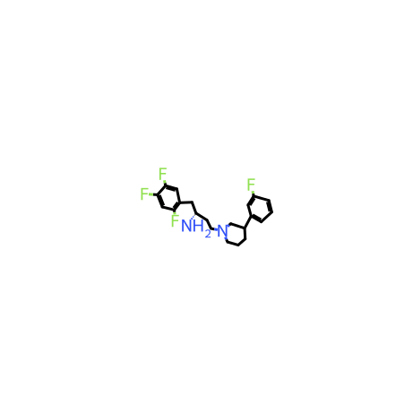 N[C@@H](CCN1CCCC(c2cccc(F)c2)C1)Cc1cc(F)c(F)cc1F